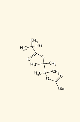 CCC(C)(C)C(=O)OC(C)(C)C(C)(C)OC(=O)C(C)(C)C